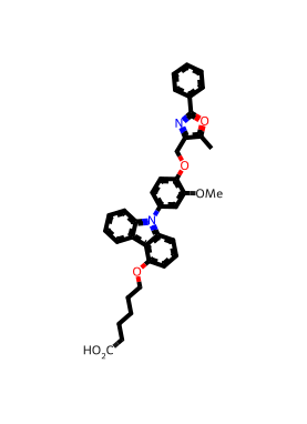 COc1cc(-n2c3ccccc3c3c(OCCCCCC(=O)O)cccc32)ccc1OCc1nc(-c2ccccc2)oc1C